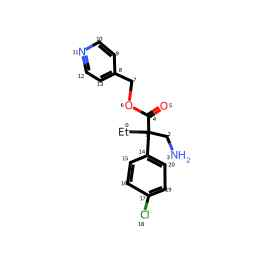 CCC(CN)(C(=O)OCc1ccncc1)c1ccc(Cl)cc1